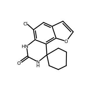 O=C1Nc2c(Cl)cc3ccoc3c2C2(CCCCC2)N1